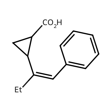 CCC(=Cc1ccccc1)C1CC1C(=O)O